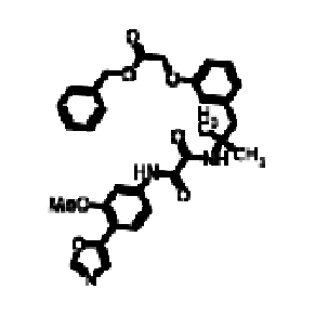 COc1cc(NC(=O)C(=O)NC(C)(C)Cc2cccc(OCC(=O)OCc3ccccc3)c2)ccc1-c1cnco1